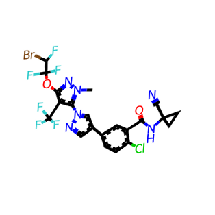 Cn1nc(OC(F)(F)C(F)Br)c(C(F)(F)F)c1-n1cc(-c2ccc(Cl)c(C(=O)NC3(C#N)CC3)c2)cn1